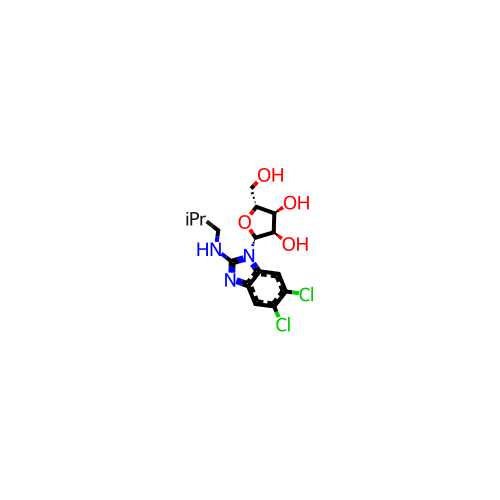 CC(C)CNc1nc2cc(Cl)c(Cl)cc2n1[C@@H]1O[C@H](CO)[C@@H](O)[C@H]1O